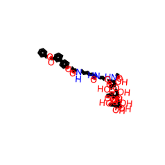 CC(=O)NC1C(O)[C@H](O[C@@H]2OC(CO)[C@H](O)C(O[C@H]3OC(CO)[C@H](O)C(O)C3O)C2O)C(CO)O[C@H]1OCCCNC(=O)CCCCCNCC(=O)COc1ccc(-c2cccc(C(=O)OCc3ccccc3)c2)cc1